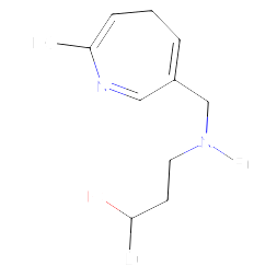 CCC(O)CCN(CC)CC1=CCC=C(C)N=C1